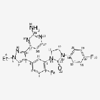 CCn1cc(-c2ccc(F)c(N3CCN(c4ccc(F)cc4)C3=O)c2)c(-c2ccnc(N)n2)n1